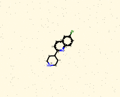 Brc1ccc2nc(C3CCNCC3)ccc2c1